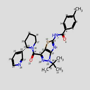 Cc1ccc(C(=O)Nc2nc3c(s2)c(C(=O)N2CCCC[C@H]2c2cccnc2)nn3C(C)(C)C)cc1